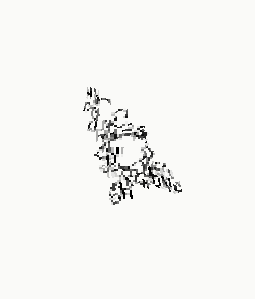 CO[C@@H](C)c1ncc(N2CCN3CCOC[C@@H]3C2)cc1-c1c2c3cc(ccc3n1CC(F)(F)F)-c1csc(n1)C[C@H](NC(=O)C(C1CCCC1)N1CCOC3(CN(C(=O)[C@@H]4NC4C4CC4)C3)C1)C(=O)N1CCC[C@H](N1)C(=O)OCC(C)(C)C2